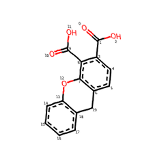 O=C(O)c1ccc2c(c1C(=O)O)Oc1ccccc1C2